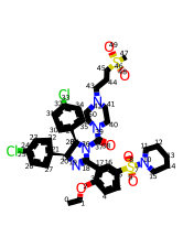 CCOc1ccc(S(=O)(=O)N2CCCCC2)cc1C1=N[C@@H](c2ccc(Cl)cc2)[C@@H](c2ccc(Cl)cc2)N1C(=O)N1CCN(CCCS(C)(=O)=O)CC1